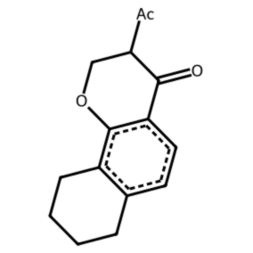 CC(=O)C1COc2c(ccc3c2CCCC3)C1=O